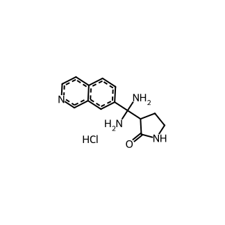 Cl.NC(N)(c1ccc2ccncc2c1)C1CCNC1=O